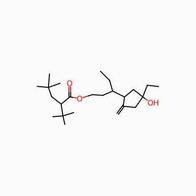 C=C1CC(O)(CC)CC1C(CC)CCOC(=O)C(CC(C)(C)C)C(C)(C)C